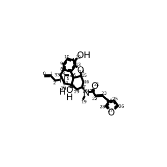 C=CCN1CC[C@]23c4c5ccc(O)c4OC2CC(N(C)C(=O)/C=C/c2ccoc2)C[C@@]3(O)[C@H]1C5